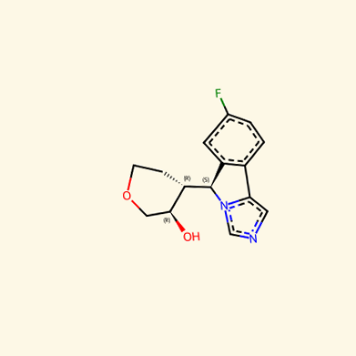 O[C@H]1COCC[C@@H]1[C@H]1c2cc(F)ccc2-c2cncn21